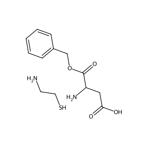 NC(CC(=O)O)C(=O)OCc1ccccc1.NCCS